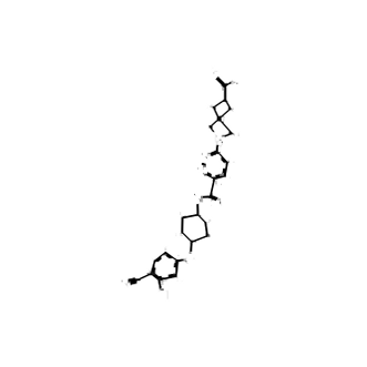 N#Cc1ccc(OC2CCC(NC(=O)c3ccc(N4CC5(CC(C(=O)O)C5)C4)nn3)CC2)cc1Cl